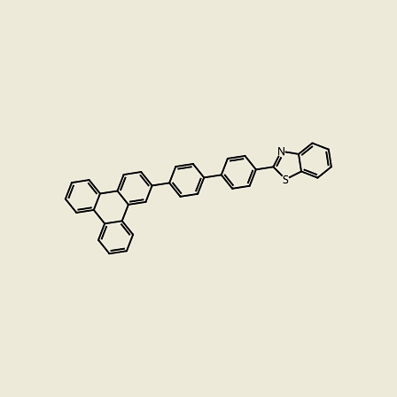 c1ccc2sc(-c3ccc(-c4ccc(-c5ccc6c7ccccc7c7ccccc7c6c5)cc4)cc3)nc2c1